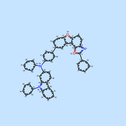 c1ccc(-c2nc3ccc4oc5ccc(-c6ccc(N(c7ccccc7)c7ccc8c9ccccc9n(-c9ccccc9)c8c7)cc6)cc5c4c3o2)cc1